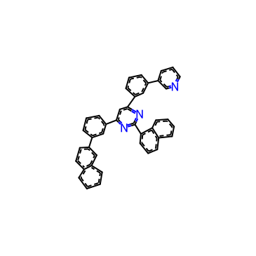 c1cncc(-c2cccc(-c3cc(-c4cccc(-c5ccc6ccccc6c5)c4)nc(-c4cccc5ccccc45)n3)c2)c1